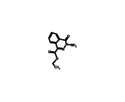 CCOC(=O)c1nn(N)c(=O)c2ccccc12